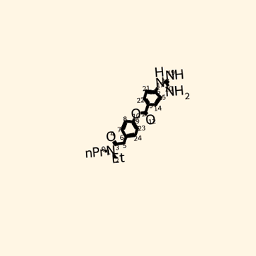 CCCN(CC)C(=O)Cc1ccc(OC(=O)c2ccc(NC(=N)N)cc2)cc1